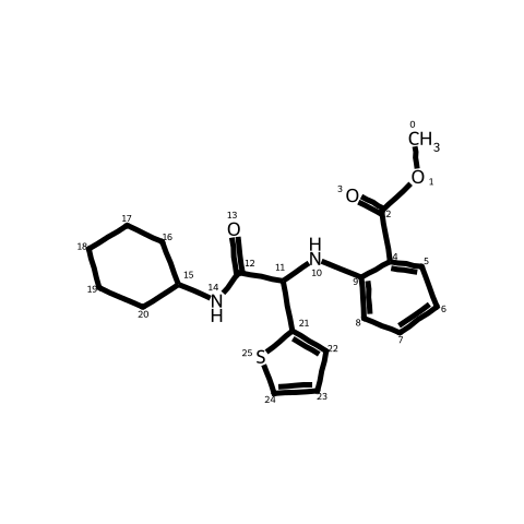 COC(=O)c1ccccc1NC(C(=O)NC1CCCCC1)c1cccs1